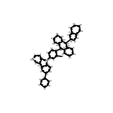 Cc1cc(-n2c3ccncc3c3cc(-c4ccccc4)ccc32)ccc1-c1c2ccccc2c(-c2ccc3ccccc3c2)c2ccccc12